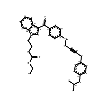 CCOC(=O)CCCn1cc(C(=O)c2ccc(OCC#CCc3ccc(CC(C)C)cc3)cc2)c2ccccc21